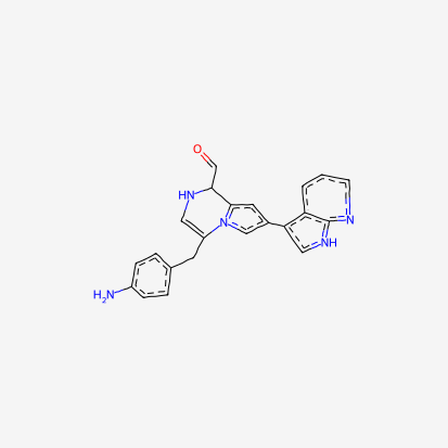 Nc1ccc(CC2=CNC(C=O)c3cc(-c4c[nH]c5ncccc45)cn32)cc1